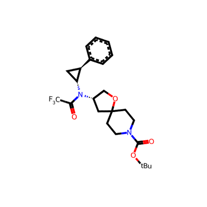 CC(C)(C)OC(=O)N1CCC2(CC1)C[C@H](N(C(=O)C(F)(F)F)[C@@H]1C[C@H]1c1ccccc1)CO2